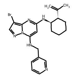 C=C(C)[C@@H]1CCCC[C@H]1Nc1cc(NCc2cccnc2)n2ncc(Br)c2n1